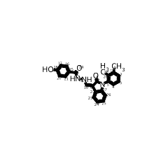 Cc1cccc(N2C(=O)C(=CNNC(=O)c3ccc(O)cc3)c3ccccc32)c1C